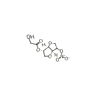 O=C(CO)O[C@H]1CO[C@@H]2C(O[N+](=O)[O-])CO[C@H]12